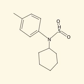 Cc1ccc(N(C2CCCCC2)[SH](=O)=O)cc1